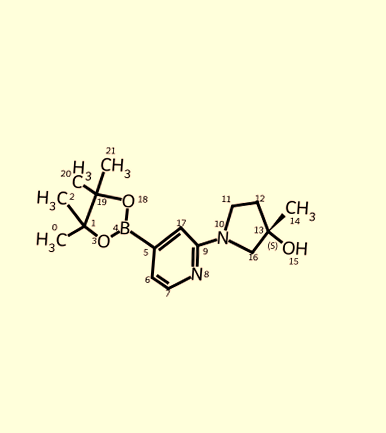 CC1(C)OB(c2ccnc(N3CC[C@](C)(O)C3)c2)OC1(C)C